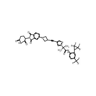 CC(C)(C(=O)Nc1ccc(C(F)(F)F)cc1C1C(F)(F)C1(F)F)n1cc(C#CC2CN(c3ccc4c(c3)C(=O)N(C3CCC(=O)NC3=O)C4=O)C2)cn1